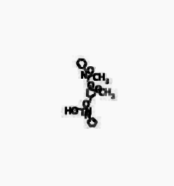 COc1cc(COc2nn(-c3ccccc3)cc2CO)ccc1OCc1nc(-c2ccccc2)oc1C